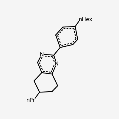 CCCCCCc1ccc(-c2ncc3c(n2)CCC(CCC)C3)cc1